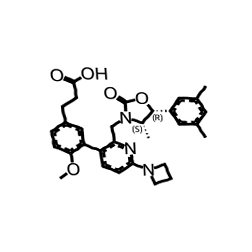 COc1ccc(CCC(=O)O)cc1-c1ccc(N2CCC2)nc1CN1C(=O)O[C@H](c2cc(C)cc(C)c2)[C@@H]1C